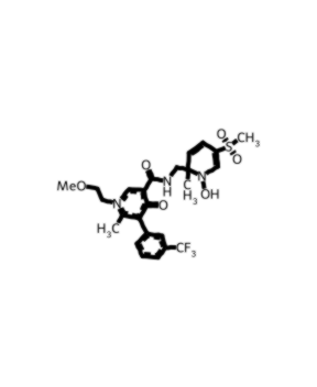 COCCn1cc(C(=O)NCC2(C)C=CC(S(C)(=O)=O)=CN2O)c(=O)c(-c2cccc(C(F)(F)F)c2)c1C